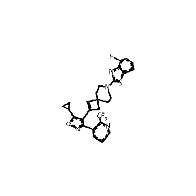 Fc1cccc2sc(N3CCC4(C=C(c5c(-c6cccnc6C(F)(F)F)noc5C5CC5)C4)CC3)nc12